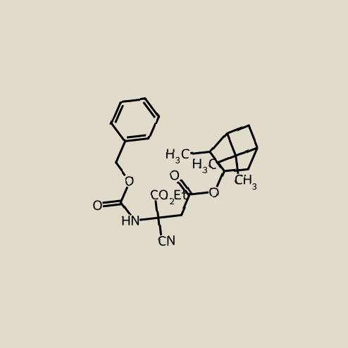 CCOC(=O)C(C#N)(CC(=O)OC1CC2CC(C1C)C2(C)C)NC(=O)OCc1ccccc1